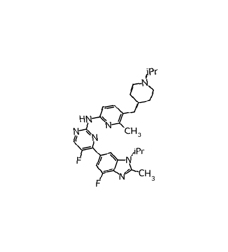 Cc1nc(Nc2ncc(F)c(-c3cc(F)c4nc(C)n(C(C)C)c4c3)n2)ccc1CC1CCN(C(C)C)CC1